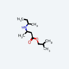 CCC(C)NC(C)CC(=O)OCC(C)C